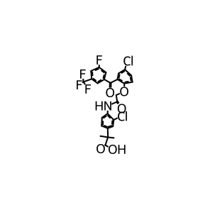 CC(C)(C(=O)O)c1ccc(NC(=O)COc2ccc(Cl)cc2C(=O)c2cc(F)cc(C(F)(F)F)c2)c(Cl)c1